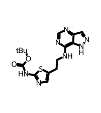 CC(C)(C)OC(=O)Nc1ncc(CCNc2ncnc3cn[nH]c23)s1